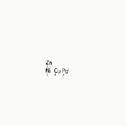 [Cu].[Ni].[Pd].[Zn]